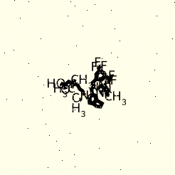 CCN(CCCC(C)(C)CC(=O)O)c1cc2c(cc1CN(Cc1cc(C(F)(F)F)cc(C(F)(F)F)c1)c1nnn(C)n1)CCC2